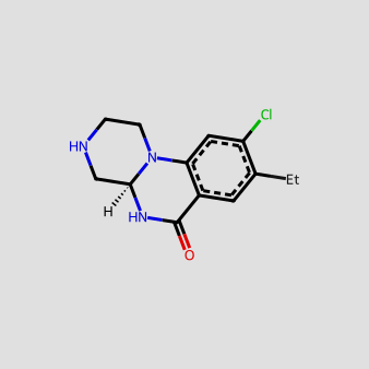 CCc1cc2c(cc1Cl)N1CCNC[C@@H]1NC2=O